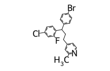 Cc1cc(CCC(c2ccc(Br)cc2)c2ccc(Cl)cc2F)ccn1